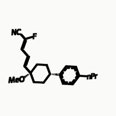 CCCc1ccc([C@H]2CC[C@@](C=CC=C(F)C#N)(OC)CC2)cc1